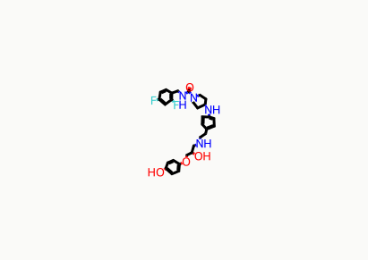 O=C(NCc1ccc(F)cc1F)N1CCC(Nc2ccc(CCNCC(O)COc3ccc(O)cc3)cc2)CC1